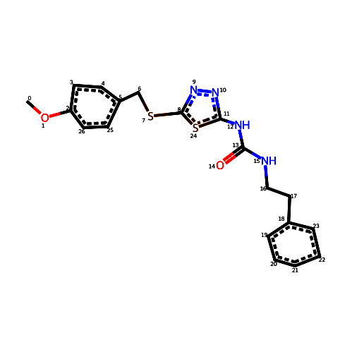 COc1ccc(CSc2nnc(NC(=O)NCCc3ccccc3)s2)cc1